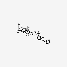 NC(=O)c1ccc(NC(=O)N2CCN(C(=O)c3cccc(OCc4ccccc4)c3)CC2)nc1